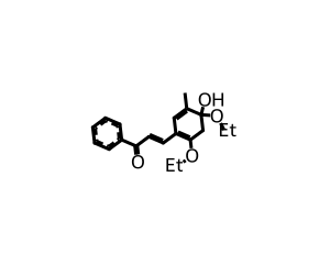 CCOC1=C(C=CC(=O)c2ccccc2)C=C(C)C(O)(OCC)C1